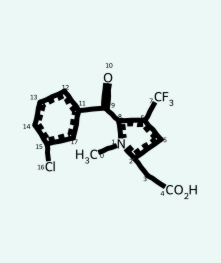 Cn1c(CC(=O)O)cc(C(F)(F)F)c1C(=O)c1cccc(Cl)c1